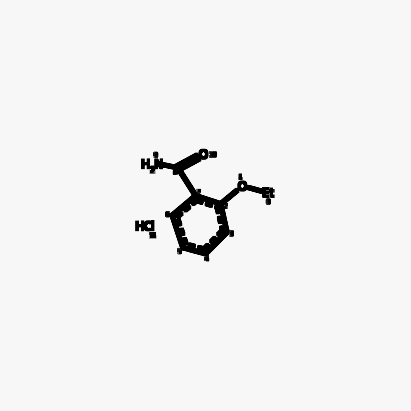 CCOc1ccccc1C(N)=O.Cl